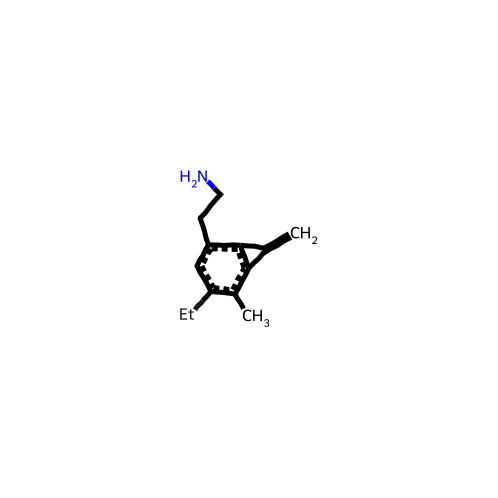 C=C1c2c(CCN)cc(CC)c(C)c21